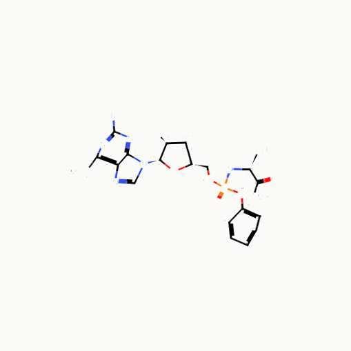 COC(=O)[C@H](C)NP(=O)(OC[C@H]1O[C@@H](n2cnc3c(OC)nc(N)nc32)[C@@H](C)[C@@H]1O)Oc1ccccc1